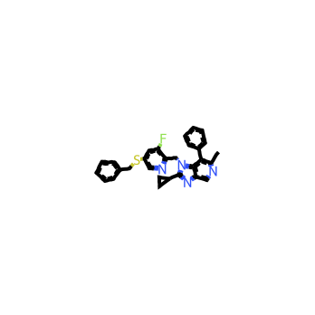 Cc1ncc2nc(C3CC3)n(Cc3ncc(SCc4ccccc4)cc3F)c2c1-c1ccccc1